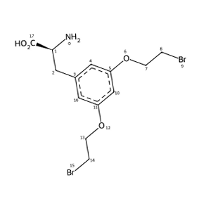 N[C@@H](Cc1cc(OCCBr)cc(OCCBr)c1)C(=O)O